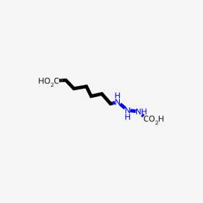 O=C(O)CCCCCCNNNC(=O)O